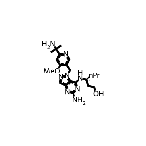 CCC[C@@H](CCO)Nc1nc(N)nc2cnn(Cc3cnc(C(C)(C)N)cc3OC)c12